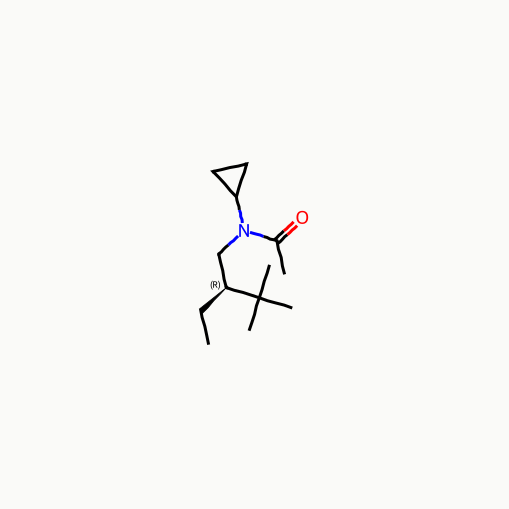 CC[C@@H](CN(C(C)=O)C1CC1)C(C)(C)C